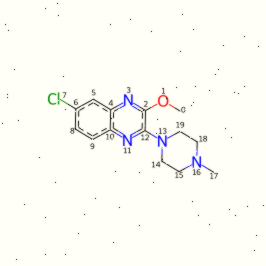 COc1nc2cc(Cl)ccc2nc1N1CCN(C)CC1